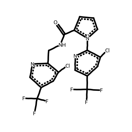 O=C(NCc1ncc(C(F)(F)F)cc1Cl)c1cccn1-c1ncc(C(F)(F)F)cc1Cl